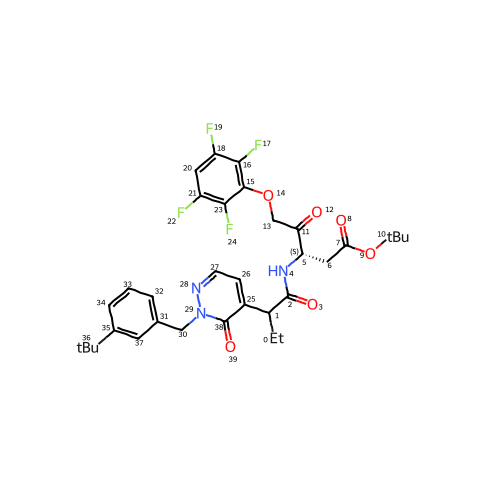 CCC(C(=O)N[C@@H](CC(=O)OC(C)(C)C)C(=O)COc1c(F)c(F)cc(F)c1F)c1ccnn(Cc2cccc(C(C)(C)C)c2)c1=O